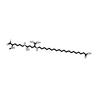 O=C(O)CCCCCCCCCCCCCCCCCCCNC(CC[C@@H](O)NCCCCC(NI)C(=O)I)C(O)O